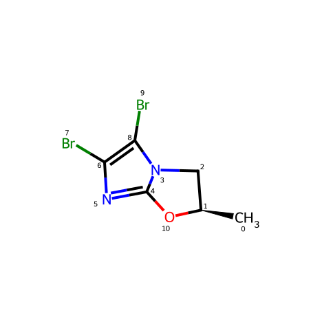 C[C@@H]1Cn2c(nc(Br)c2Br)O1